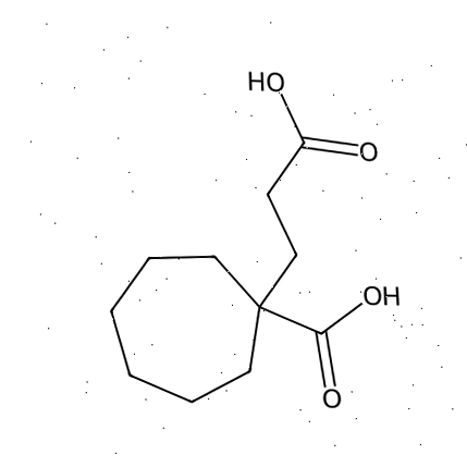 O=C(O)CCC1(C(=O)O)CCCCCC1